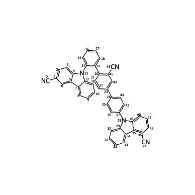 N#Cc1ccc2c(c1)c1ccccc1n2-c1ccccc1-c1ccc(-c2ccc(-n3c4ccccc4c4c(C#N)cccc43)cc2)cc1C#N